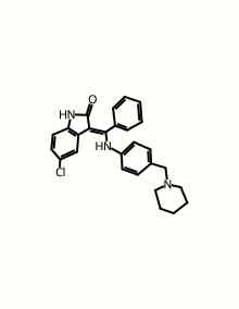 O=C1Nc2ccc(Cl)cc2C1=C(Nc1ccc(CN2CCCCC2)cc1)c1ccccc1